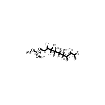 CC(C)O[SiH](OCC(F)C(F)(F)C(F)(F)C(F)(F)C(F)(F)C(F)C(F)C(F)F)OC(C)C